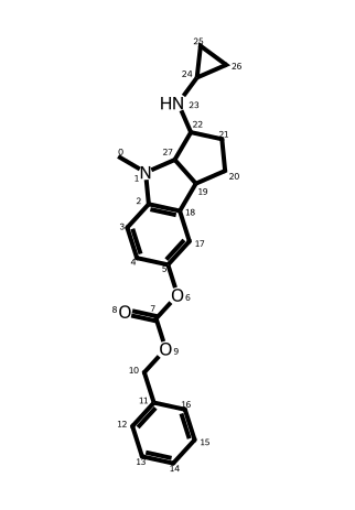 CN1c2ccc(OC(=O)OCc3ccccc3)cc2C2CCC(NC3CC3)C21